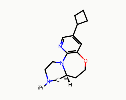 CC(C)N1CCN2c3ncc(C4CCC4)cc3OCC[C@@H]2C1